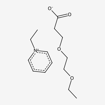 CCOCCOCCC(=O)[O-].CC[n+]1ccccc1